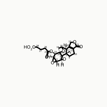 CC(C)[C@]12O[C@H]1[C@@H]1O[C@@]13[C@@]1(C)CCC4=C(COC4=O)[C@@H]1C1C[C@@]3(O1)[C@@H]2OC(=O)CCCC(=O)O